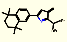 C=C1C=C(c2ccc3c(c2)C(C)(C)CCC3(C)C)N=C1C(CCC)CCC